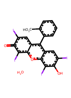 O.O=C(O)c1ccccc1-c1c2cc(I)c(=O)c(I)c-2oc2c(I)c(O)c(I)cc12